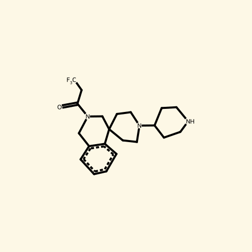 O=C(CC(F)(F)F)N1Cc2ccccc2C2(CCN(C3CCNCC3)CC2)C1